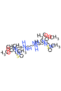 COc1cc2c(cc1OC)N(C)C(CCCCNC(=N)CCCCC(=N)NCCCCC1=NC(=Cc3sc4ccccc4[n+]3C)c3cc(OC)c(OC)cc3N1C)=NC2=Cc1sc2ccccc2[n+]1C